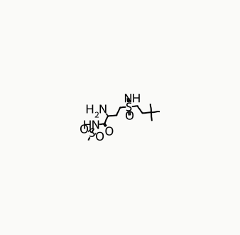 CC(C)(C)CCS(=N)(=O)CC[C@H](N)C(=O)NS(C)(=O)=O